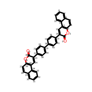 O=c1oc2ccc3ccccc3c2cc1-c1ccc(-c2ccc(-c3cc4c(ccc5ccccc54)oc3=O)cc2)cc1